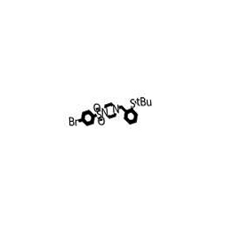 CC(C)(C)Sc1ccccc1CN1CCN(S(=O)(=O)c2ccc(Br)cc2)CC1